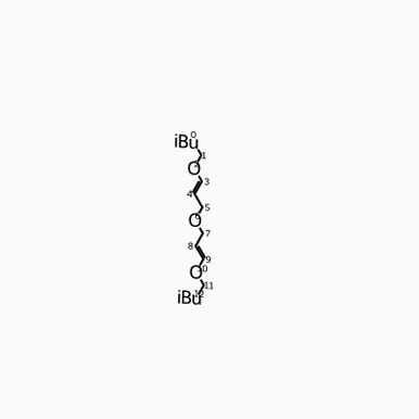 CCC(C)COC=CCOCC=COCC(C)CC